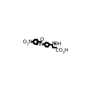 O=C(O)CCC(=NO)c1ccc(NC(=O)c2ccc([N+](=O)[O-])cc2)cc1